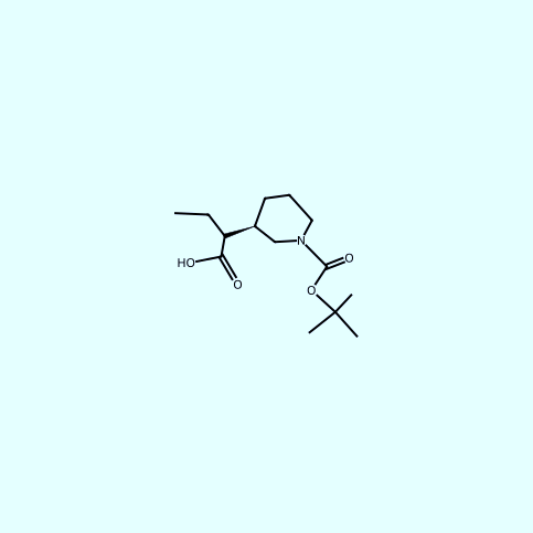 CCC(C(=O)O)[C@H]1CCCN(C(=O)OC(C)(C)C)C1